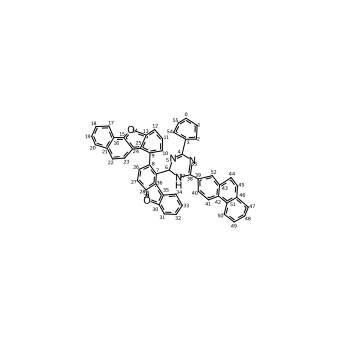 c1ccc(C2=NC(c3c(-c4cccc5oc6c7ccccc7ccc6c45)ccc4oc5ccccc5c34)NC(c3ccc4c(ccc5ccccc54)c3)=N2)cc1